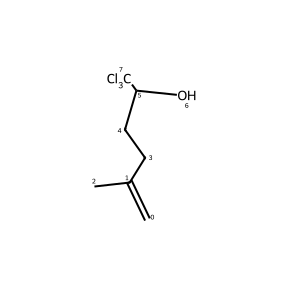 C=C(C)CCC(O)C(Cl)(Cl)Cl